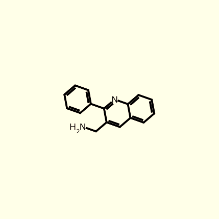 NCc1cc2ccccc2nc1-c1ccccc1